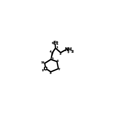 CCC(CN)C[C@H]1CCCOC1